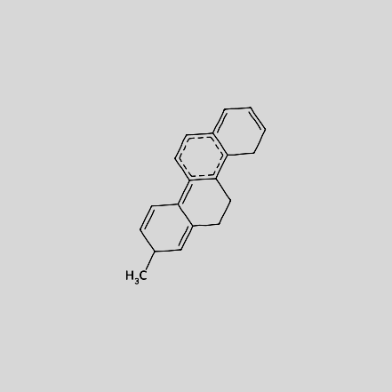 CC1C=CC2=c3ccc4c(c3CCC2=C1)CC=CC=4